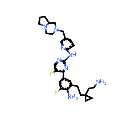 NCCC1(CCc2cc(-c3nc(Nc4ccc(CN5CCN6CCCC6C5)cn4)ncc3F)cc(F)c2N)CC1